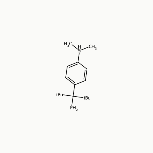 C[SiH](C)c1ccc(C(P)(C(C)(C)C)C(C)(C)C)cc1